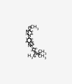 COC1=CCN(c2ccc3nc([C@H]4C[C@H](N(C)C(C)C)C4)sc3c2)C=N1